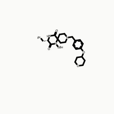 CCCCN1C(=O)[C@H](CC(C)C)NC(=O)C12CCN(Cc1ccc(OC3CCOCC3)cc1)CC2